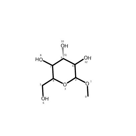 COC1OC(CO)C(O)[C@H](O)C1O